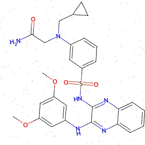 COc1cc(Nc2nc3ccccc3nc2NS(=O)(=O)c2cccc(N(CC(N)=O)CC3CC3)c2)cc(OC)c1